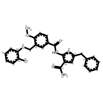 COc1ccc(C(=O)Nc2sc(Cc3ccccc3)cc2C(N)=O)cc1COc1ccccc1Cl